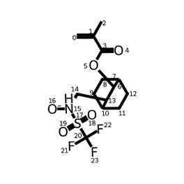 C=C(C)C(=O)OC1C2CCC(CC2)C1C[NH+]([O-])S(=O)(=O)C(F)(F)F